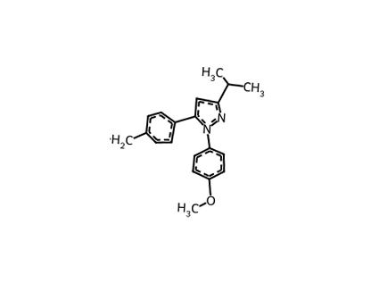 [CH2]c1ccc(-c2cc(C(C)C)nn2-c2ccc(OC)cc2)cc1